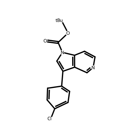 CC(C)(C)OC(=O)n1cc(-c2ccc(Cl)cc2)c2cnccc21